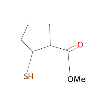 COC(=O)C1CCCC1S